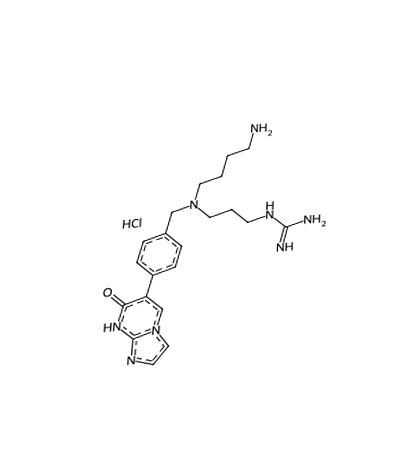 Cl.N=C(N)NCCCN(CCCCN)Cc1ccc(-c2cn3ccnc3[nH]c2=O)cc1